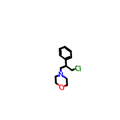 ClCC(CN1CCOCC1)c1ccccc1